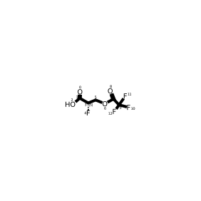 O=C(O)[C@@H](F)COC(=O)C(F)(F)F